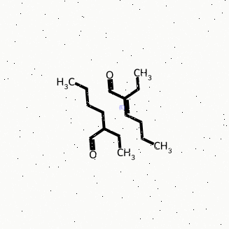 CCC/C=C(/C=O)CC.CCCCC(C=O)CC